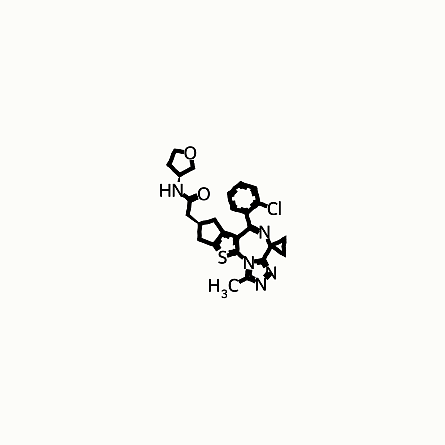 Cc1nnc2n1-c1sc3c(c1C(c1ccccc1Cl)=NC21CC1)C[C@H](CC(=O)N[C@@H]1CCOC1)C3